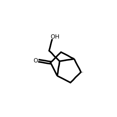 O=C1CC2[CH]CC1C2CO